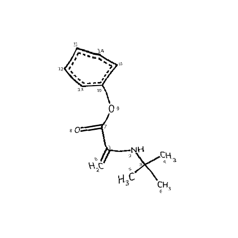 C=C(NC(C)(C)C)C(=O)Oc1ccccc1